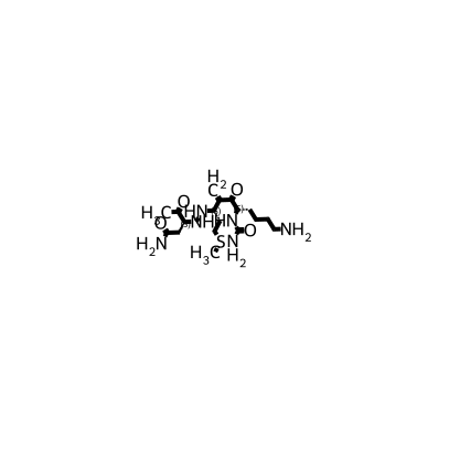 C=C(C(=O)[C@H](CCCCN)NC(N)=O)[C@H](CCSC)NN[C@@H](CC(N)=O)C(C)=O